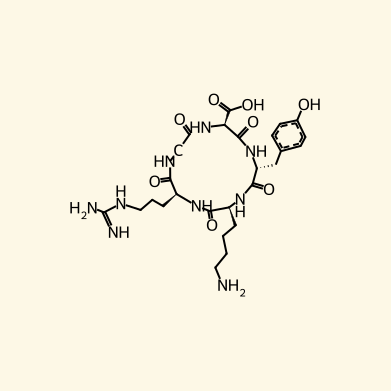 N=C(N)NCCC[C@@H]1NC(=O)[C@H](CCCCN)NC(=O)[C@@H](Cc2ccc(O)cc2)NC(=O)[C@H](C(=O)O)NC(=O)CNC1=O